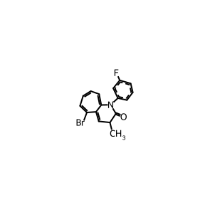 CC1C=C2C(Br)=CC=CC=C2N(c2cccc(F)c2)C1=O